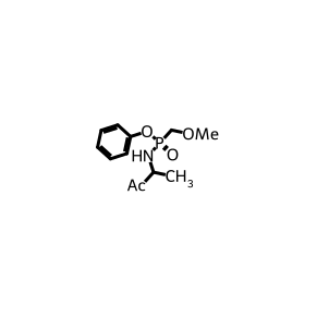 COCP(=O)(NC(C)C(C)=O)Oc1ccccc1